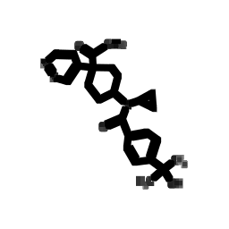 COC(=O)C1(c2ccnnc2)CCC(N(C(=O)c2ccc(C(C)(O)C(F)(F)F)cc2)C2CC2)CC1